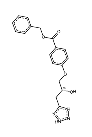 O=C(OCc1ccccc1)c1ccc(OC[C@H](O)Cc2nn[nH]n2)cc1